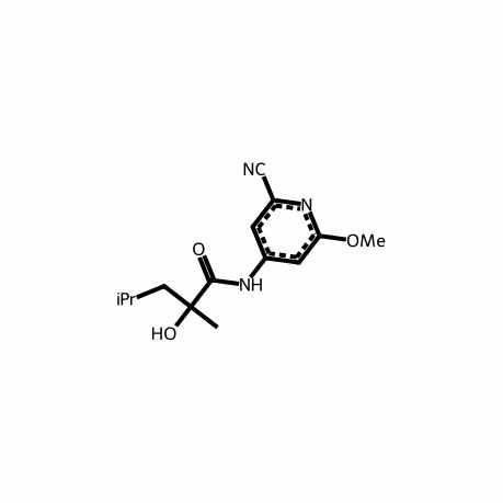 COc1cc(NC(=O)C(C)(O)CC(C)C)cc(C#N)n1